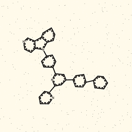 c1ccc(-c2ccc(-c3cc(-c4ccc(-n5c6ccccc6c6cnccc65)cc4)nc(-c4ccccn4)c3)cc2)cc1